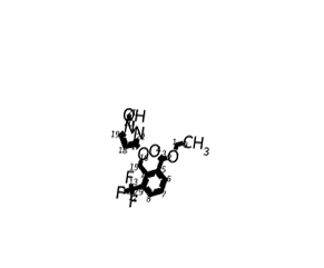 CCOC(=O)c1cccc(C(F)(F)F)c1COc1ccn(O)n1